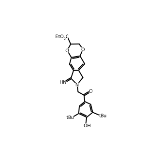 CCOC(=O)C1COc2cc3c(cc2O1)C(=N)N(CC(=O)c1cc(C(C)(C)C)c(O)c(C(C)(C)C)c1)C3